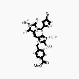 CCCCc1ncc(C=C2C(=O)N(CCCC)C(=O)N2Cc2cc(Br)cs2)n1Cc1ccc(C(=O)OC)cc1.Cl